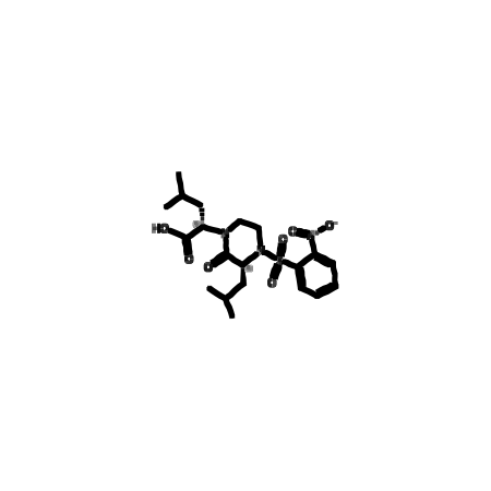 CC(C)C[C@@H](C(=O)O)N1CCN(S(=O)(=O)c2ccccc2[N+](=O)[O-])[C@@H](CC(C)C)C1=O